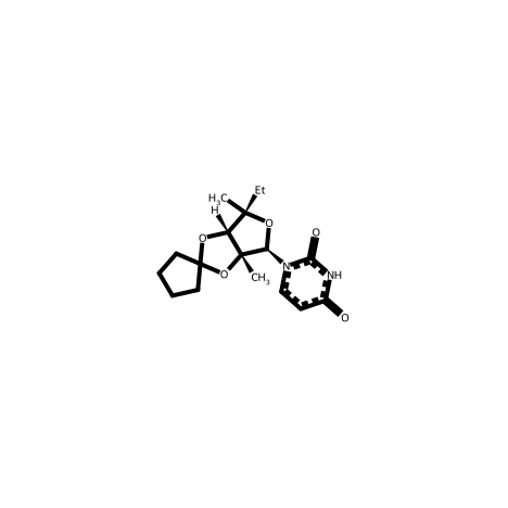 CC[C@@]1(C)O[C@@H](n2ccc(=O)[nH]c2=O)[C@]2(C)OC3(CCCC3)O[C@@H]21